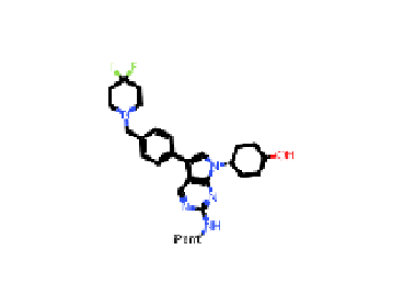 CCCC(C)Nc1ncc2c(-c3ccc(CN4CCC(F)(F)CC4)cc3)cn([C@H]3CC[C@H](O)CC3)c2n1